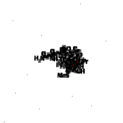 CSCC[C@H](NC(=O)[C@H](CC(C)C)NC(=O)[C@@H]1CCCN1C(=O)[C@@H]1CCCN1C(=O)CNC(=O)[C@@H](N)CCC(N)=O)C(=O)N[C@@H](CO)C(=O)N[C@@H](CC(C)C)C(=O)N[C@@H](CCC(N)=O)C(=O)N[C@@H](C)C(=O)O